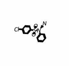 N#CN(c1ccccc1)S(=O)(=O)c1ccc(Cl)cc1